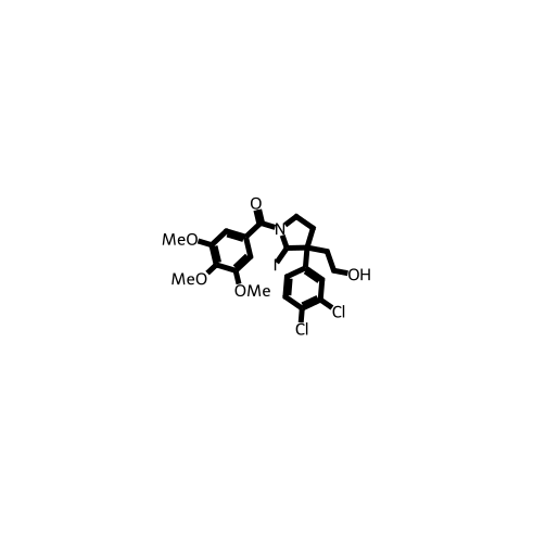 COc1cc(C(=O)N2CCC(CCO)(c3ccc(Cl)c(Cl)c3)C2I)cc(OC)c1OC